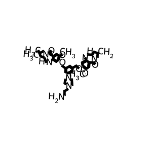 C=C1C[C@H]2C=Nc3cc(OCc4cc(COc5cc6c(cc5OC)C(=O)N5CC(C)(C)C[C@H]5C=N6)cc(N5CCN(CCCN)CC5)c4)c(OC)cc3C(=O)N2C1